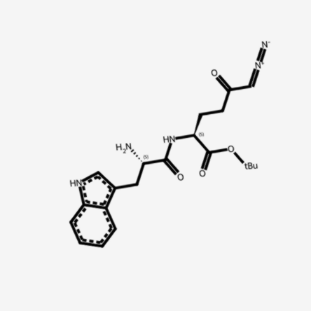 CC(C)(C)OC(=O)[C@H](CCC(=O)C=[N+]=[N-])NC(=O)[C@@H](N)Cc1c[nH]c2ccccc12